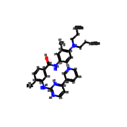 COCCN(CCOC)c1ccc(NC(=O)c2ccc(C)c(Nc3nccc(-c4cccnc4)n3)c2)cc1C(F)(F)F